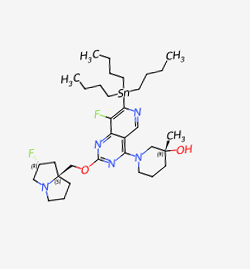 CCC[CH2][Sn]([CH2]CCC)([CH2]CCC)[c]1ncc2c(N3CCC[C@@](C)(O)C3)nc(OC[C@@]34CCCN3C[C@H](F)C4)nc2c1F